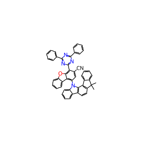 CC1(C)c2ccccc2-c2c1ccc1c3ccccc3n(-c3cc(C#N)c(-c4nc(-c5ccccc5)nc(-c5ccccc5)n4)c4oc5ccccc5c34)c21